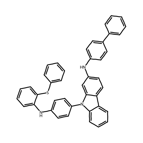 c1ccc(Sc2ccccc2Nc2ccc(-n3c4ccccc4c4ccc(Nc5ccc(-c6ccccc6)cc5)cc43)cc2)cc1